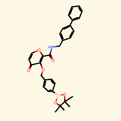 CC1(C)OB(c2ccc(COc3c(C(=O)NCc4ccc(-c5ccccc5)cc4)occc3=O)cc2)OC1(C)C